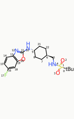 CC(C)(C)S(=O)(=O)NC[C@H]1CC[C@H](Nc2nc3ccc(F)cc3o2)CC1